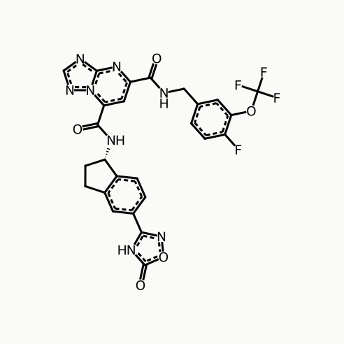 O=C(NCc1ccc(F)c(OC(F)(F)F)c1)c1cc(C(=O)N[C@H]2CCc3cc(-c4noc(=O)[nH]4)ccc32)n2ncnc2n1